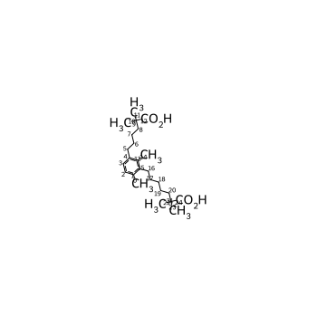 Cc1ccc(CCCCC(C)(C)C(=O)O)c(C)c1CCCCCC(C)(C)C(=O)O